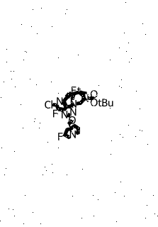 CCC#Cc1nc(Cl)c(F)c2nc(OC[C@@]34CCCN3C[C@H](F)C4)nc(N3CCC4CC(C3)N(C(=O)OC(C)(C)C)C4)c12